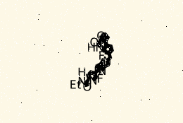 CCNC(=O)c1ccc(-n2cc3c(n2)CN(Cc2ccc4c([nH]c(=O)c5occc54)c2F)C3)c(F)n1